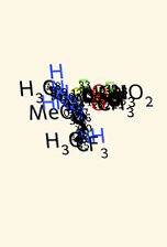 COc1c(Nc2cc(C)[nH]n2)nc(Sc2ccc(S(=O)(=O)C(C)(C)c3cccc([N+](=O)[O-])c3F)cc2F)nc1N1CCC(CCNC(C)C(F)(F)F)CC1